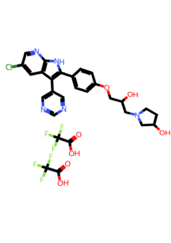 O=C(O)C(F)(F)F.O=C(O)C(F)(F)F.OC1CCN(CC(O)COc2ccc(-c3[nH]c4ncc(Cl)cc4c3-c3cncnc3)cc2)C1